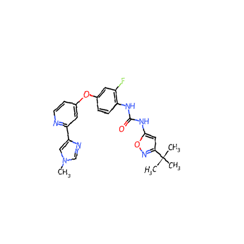 Cn1cnc(-c2cc(Oc3ccc(NC(=O)Nc4cc(C(C)(C)C)no4)c(F)c3)ccn2)c1